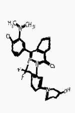 CN(C)c1cc(-c2nn(-c3cc(N4CCC(O)C4)ccc3C(F)(F)F)c(=O)c3c2CCC3)ccc1Cl